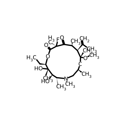 C=C(C)[C@@H]1[C@@H](C)C(=O)[C@](C)(F)C(=O)O[C@H](CC)[C@@](C)(O)[C@H](O)[C@@H](C)N(C)C[C@H](C)C[C@@]1(C)OC